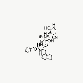 CC(C)C[C@H](NC(=O)C(Cc1cccc2ccccc12)NC(=O)OCc1ccccc1)C(=O)N[C@@H](C[C@@H]1CCCNC1O)C(O)C#N